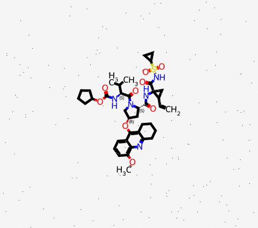 C=CC1CC1(NC(=O)[C@@H]1C[C@@H](Oc2c3c(nc4c(OC)cccc24)CCCC3)CN1C(=O)[C@@H](NC(=O)OC1CCCC1)C(C)C)C(=O)NS(=O)(=O)C1CC1